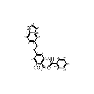 O=C(Nc1cc(CCc2ccc3occc3c2)ccc1C(=O)O)c1ccccc1